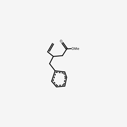 C=CC(CC(=O)OC)Cc1ccccc1